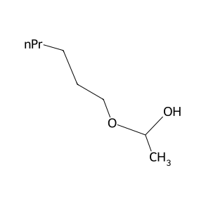 CCCCCCOC(C)O